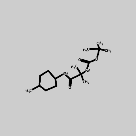 CC1CCC(NC(=O)C(C)(C)NC(=O)OC(C)(C)C)CC1